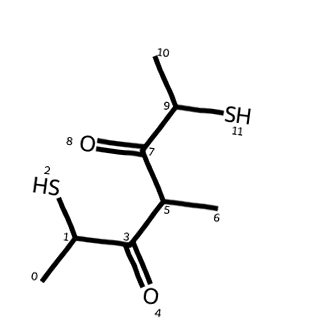 CC(S)C(=O)C(C)C(=O)C(C)S